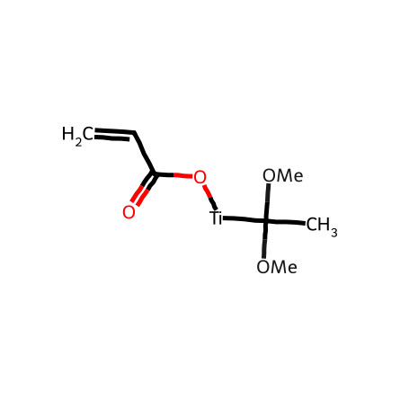 C=CC(=O)[O][Ti][C](C)(OC)OC